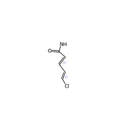 [NH]C(=O)/C=C/C=C/Cl